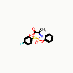 CC(NP(=O)(Oc1ccccc1)Sc1ccc(F)cc1)C(=O)O